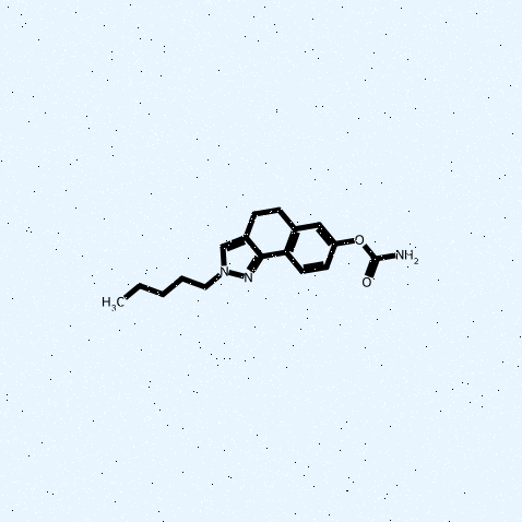 CCCCCn1cc2c(n1)-c1ccc(OC(N)=O)cc1CC2